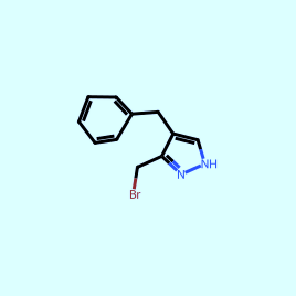 BrCc1n[nH]cc1Cc1ccccc1